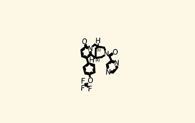 O=C(c1cnccn1)N1C[C@@H]2C[C@H](C1)c1c(-c3ccc(OC(F)(F)F)cc3)ccc(=O)n1C2